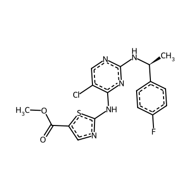 COC(=O)c1cnc(Nc2nc(N[C@@H](C)c3ccc(F)cc3)ncc2Cl)s1